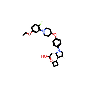 CCOc1ccc(F)c(N2CCC(Oc3ccc(N4C[C@H](C)[C@@H](C5CCC5)[C@@H]4CC(=O)O)cc3)CC2)c1